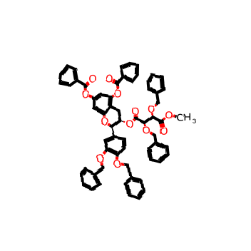 COC(=O)[C@H](OCc1ccccc1)[C@@H](OCc1ccccc1)C(=O)O[C@H]1Cc2c(OC(=O)c3ccccc3)cc(OC(=O)c3ccccc3)cc2O[C@@H]1c1ccc(OCc2ccccc2)c(OCc2ccccc2)c1